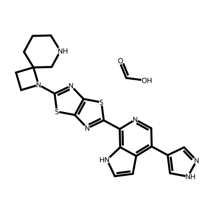 O=CO.c1cc2c(-c3cn[nH]c3)cnc(-c3nc4sc(N5CCC56CCCNC6)nc4s3)c2[nH]1